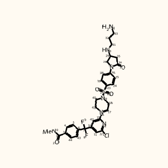 CNC(=O)c1ccc(C(F)(F)c2cc(Cl)nc(N3CCN(S(=O)(=O)c4ccc(N5CC(NCCCN)CC5=O)cc4)CC3)c2)cc1